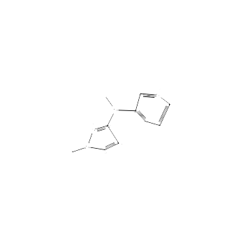 CN(c1cccnc1)c1ccn(C)n1